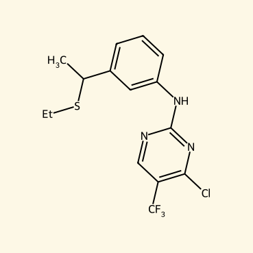 CCSC(C)c1cccc(Nc2ncc(C(F)(F)F)c(Cl)n2)c1